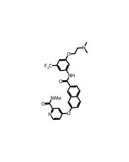 CNC(=O)c1cc(Oc2ccc3ccc(C(=O)Nc4cc(OCCN(C)C)cc(C(F)(F)F)c4)cc3c2)ccn1